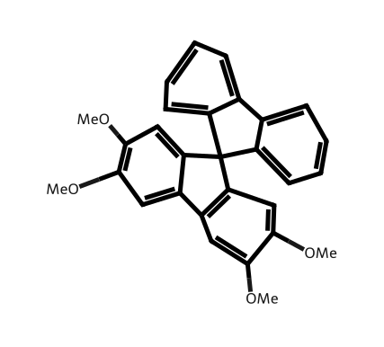 COc1cc2c(cc1OC)C1(c3ccccc3-c3ccccc31)c1cc(OC)c(OC)cc1-2